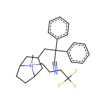 C[N+]1(CCCC(F)(F)F)C2CCC1CC(CC(C#N)(c1ccccc1)c1ccccc1)C2